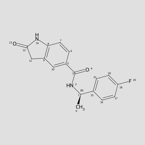 C[C@@H](NC(=O)c1ccc2c(c1)CC(=O)N2)c1ccc(F)cc1